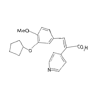 COc1ccc(C=C(C(=O)O)c2ccncc2)cc1OC1CCCC1